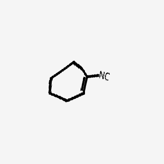 [C-]#[N+]C1=CCCCC1